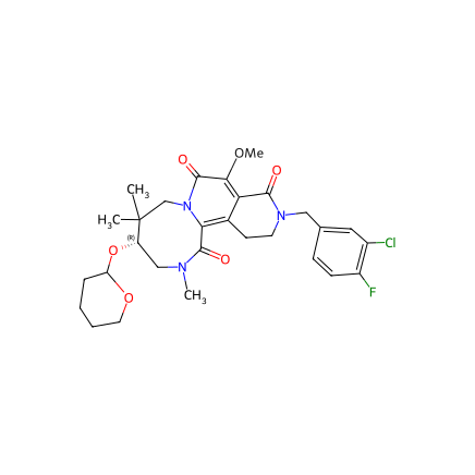 COc1c2c(c3n(c1=O)CC(C)(C)[C@@H](OC1CCCCO1)CN(C)C3=O)CCN(Cc1ccc(F)c(Cl)c1)C2=O